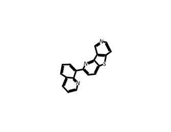 c1cnc2c(-c3ccc4sc5ccncc5c4n3)cccc2c1